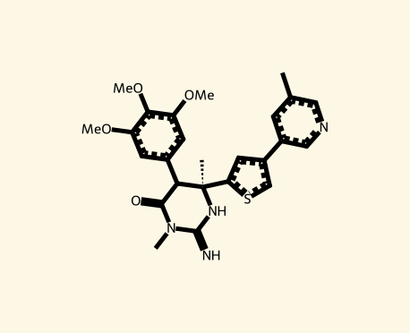 COc1cc(C2C(=O)N(C)C(=N)N[C@]2(C)c2cc(-c3cncc(C)c3)cs2)cc(OC)c1OC